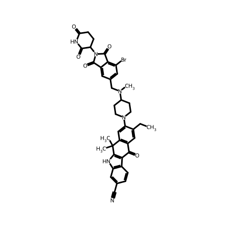 CCc1cc2c(cc1N1CCC(N(C)Cc3cc(Br)c4c(c3)C(=O)N(C3CCC(=O)NC3=O)C4=O)CC1)C(C)(C)c1[nH]c3cc(C#N)ccc3c1C2=O